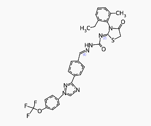 CCc1cccc(C)c1N1C(=O)CS/C1=N\C(=O)N/N=C/c1ccc(-c2ncn(-c3ccc(OC(F)(F)F)cc3)n2)cc1